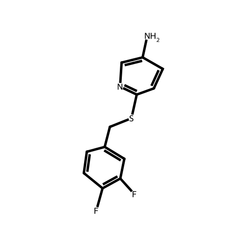 Nc1ccc(SCc2ccc(F)c(F)c2)nc1